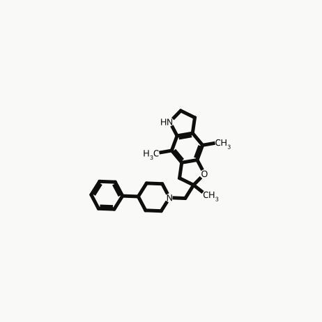 Cc1c2c(c(C)c3c1NCC3)OC(C)(CN1CCC(c3ccccc3)CC1)C2